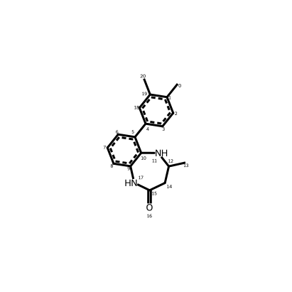 Cc1ccc(-c2cccc3c2NC(C)CC(=O)N3)cc1C